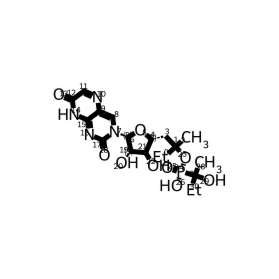 CCC(C)(C[C@H]1O[C@@H](n2cc3ncc(=O)[nH]c3nc2=O)[C@@H](O)C1O)OP(=O)(O)C(C)(O)CC